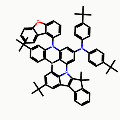 CC(C)(C)c1ccc(N(c2ccc(C(C)(C)C)cc2)c2cc3c4c(c2)-n2c5c(c6cc(C(C)(C)C)cc(c62)B4c2ccc(C(C)(C)C)cc2N3c2cccc3oc4ccccc4c23)-c2ccccc2C5(C)C)cc1